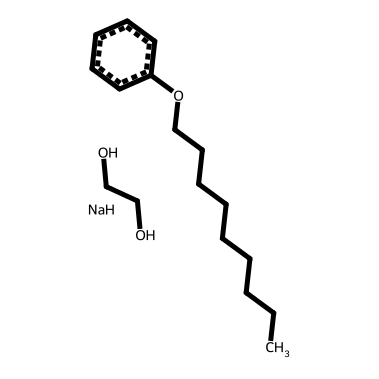 CCCCCCCCCOc1ccccc1.OCCO.[NaH]